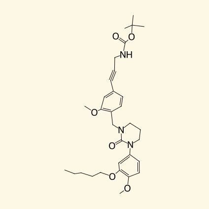 CCCCCOc1cc(N2CCCN(Cc3ccc(C#CCNC(=O)OC(C)(C)C)cc3OC)C2=O)ccc1OC